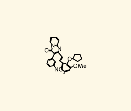 COc1cccc(C=Cc2nc3ccccn3c(=O)c2-c2cccc([N+](=O)[O-])c2)c1OC1CCCC1